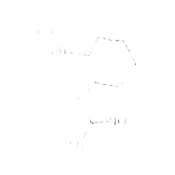 CC(C)(C)NC1CCCCC1NC(=N)N